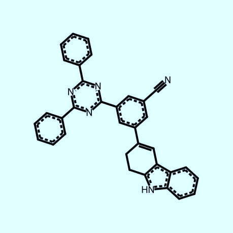 N#Cc1cc(C2=Cc3c([nH]c4ccccc34)CC2)cc(-c2nc(-c3ccccc3)nc(-c3ccccc3)n2)c1